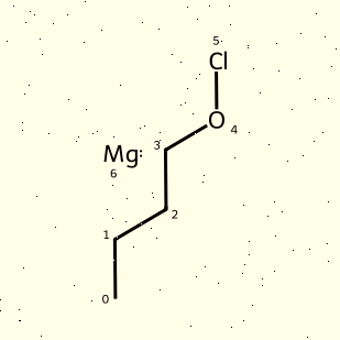 CCCCOCl.[Mg]